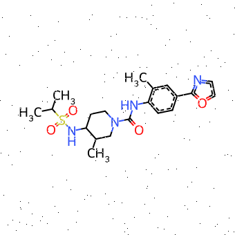 Cc1cc(-c2ncco2)ccc1NC(=O)N1CCC(NS(=O)(=O)C(C)C)C(C)C1